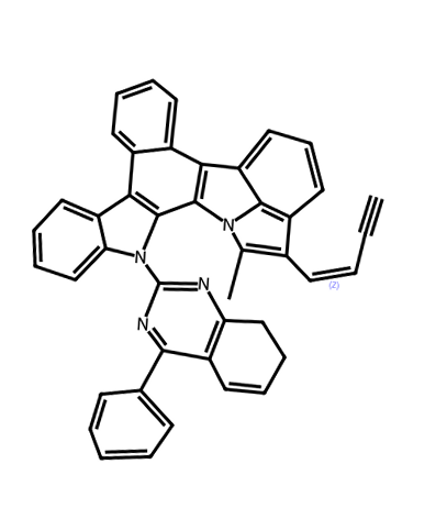 C#C/C=C\c1c(C)n2c3c1cccc3c1c3ccccc3c3c4ccccc4n(-c4nc5c(c(-c6ccccc6)n4)C=CCC5)c3c12